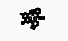 Cc1cc(C(C)Nc2ccccc2C(=O)O)c2oc(N3CCCC4CCC43)cc(=O)c2c1